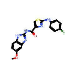 COc1ccc2[nH]c(NC(=O)c3csc(Nc4ccc(Cl)cc4)n3)nc2c1